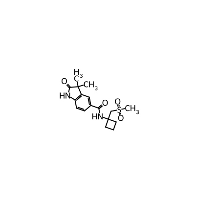 CC1(C)C(=O)Nc2ccc(C(=O)NC3(CS(C)(=O)=O)CCC3)cc21